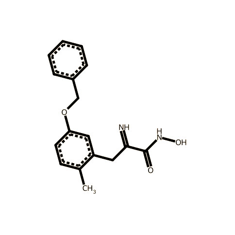 Cc1ccc(OCc2ccccc2)cc1CC(=N)C(=O)NO